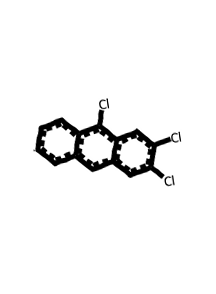 Clc1[c]c2c(Cl)c3cc[c]cc3cc2cc1Cl